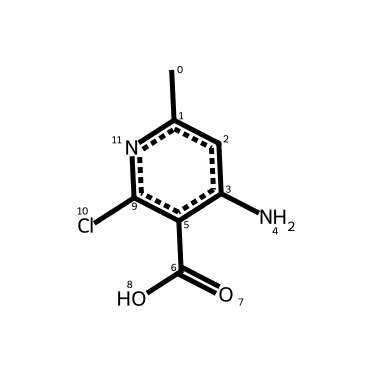 Cc1cc(N)c(C(=O)O)c(Cl)n1